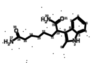 Cc1[nH]c2ccccc2c1C(CCCCCC(N)=O)C(N)=O